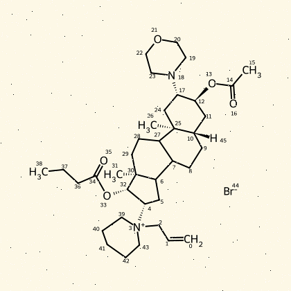 C=CC[N+]1([C@H]2CC3C4CC[C@H]5C[C@H](OC(C)=O)[C@@H](N6CCOCC6)C[C@]5(C)C4CC[C@]3(C)[C@H]2OC(=O)CCC)CCCCC1.[Br-]